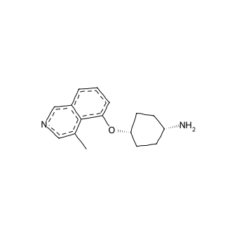 Cc1cncc2cccc(O[C@H]3CC[C@@H](N)CC3)c12